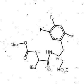 CCC(C)C(NC(=O)OC(C)(C)C)C(=O)N[C@@H](CC(=O)O)Cc1cc(F)c(F)cc1F